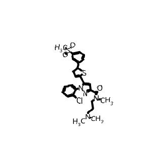 CN(C)CCCN(C)C(=O)c1cc(C2=CCC(c3cccc(S(C)(=O)=O)c3)S2)n(-c2ccccc2Cl)n1